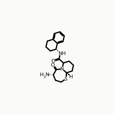 N[C@H]1CCS[C@H]2CCCC(C(=O)N[C@@H]3CCCc4ccccc43)N2C1=O